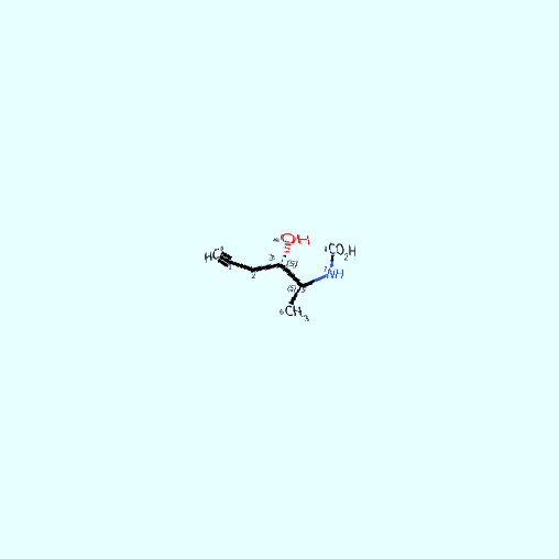 C#CC[C@H](O)[C@H](C)NC(=O)O